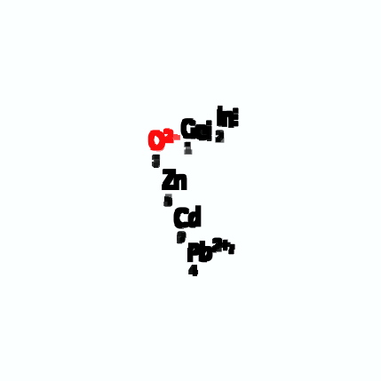 [Cd].[Ge].[In].[O-2].[Pb+2].[Zn]